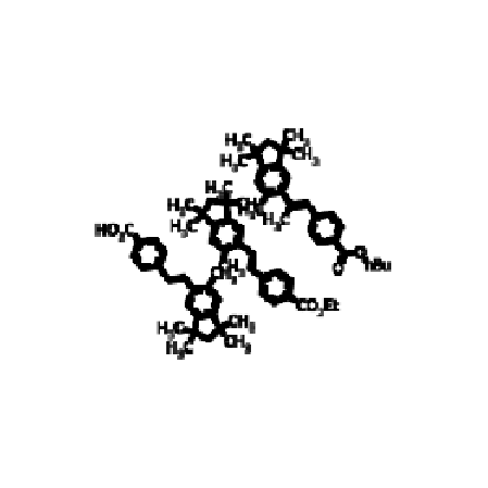 CCCCOC(=O)c1ccc(C=C(C)c2cc3c(cc2C)C(C)(C)CC3(C)C)cc1.CCOC(=O)c1ccc(C=Cc2cc3c(cc2C)C(C)(C)CC3(C)C)cc1.Cc1cc2c(cc1C=Cc1ccc(C(=O)O)cc1)C(C)(C)CC2(C)C